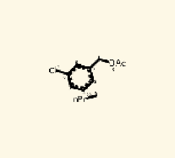 CC(=O)OCc1cccc(Cl)c1.CCCC